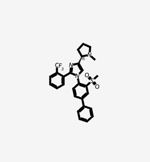 CN1CCC[C@@H]1c1cn(-c2ccc(-c3ccccc3)cc2S(C)(=O)=O)c(-c2ccccc2C(F)(F)F)n1